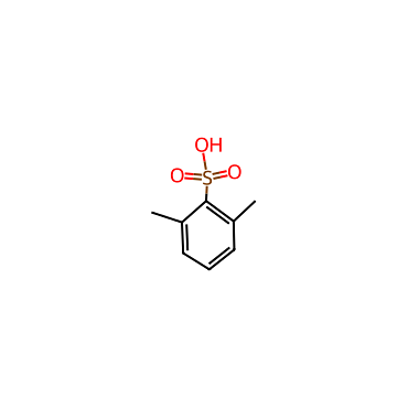 Cc1cccc(C)c1S(=O)(=O)O